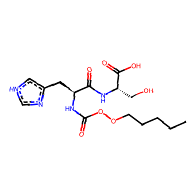 CCCCCOOC(=O)N[C@@H](Cc1c[nH]cn1)C(=O)N[C@@H](CO)C(=O)O